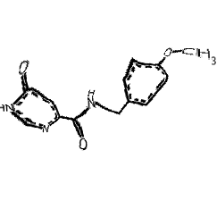 COc1ccc(CNC(=O)c2cc(=O)[nH]cn2)cc1